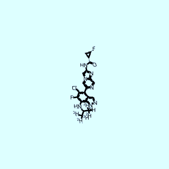 [2H]C([2H])([2H])C(Nc1c(F)c(Cl)c(-c2cn3cc(NC(=O)[C@@H]4C[C@@H]4F)nc3cn2)c2cn[nH]c12)C([2H])([2H])[2H]